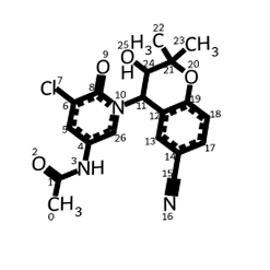 CC(=O)Nc1cc(Cl)c(=O)n(C2c3cc(C#N)ccc3OC(C)(C)C2O)c1